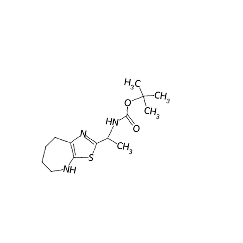 CC(NC(=O)OC(C)(C)C)c1nc2c(s1)NCCCC2